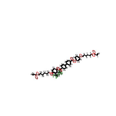 C=CC(=O)OCCCCCCOc1ccc(OC(=O)c2ccc(-c3ccc(C(=O)Oc4ccc(OCCCCCCOC(=O)C=C)c(C(F)(F)F)c4C(F)(F)F)cc3)cc2)cc1